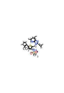 Cc1cc(C)c2nc(C3CC3)n(Cc3ccc(C4=C(C(=O)O)CC=C4)s3)c2n1.NS(=O)(=O)C(F)(F)F